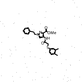 COC(=O)c1nn(CCc2ccccc2)cc1NC(=O)CSc1ccc(C)c(C)c1